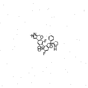 Cn1cc2c(n1)COc1c-2cc(C#N)c(-c2c(Cl)c(F)cc3c2C[C@](c2ccccc2)([C@@H]2CCCN2)O3)c1F